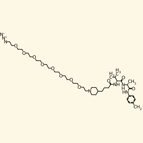 [CH2]c1ccc(NC(=O)[C@H](C)NC(=O)[C@@H](NC(=O)CCCC2CCN(CCOCCOCCOCCOCCOCCOCCOCCOCCN=[N+]=[N-])CC2)C(C)C)cc1